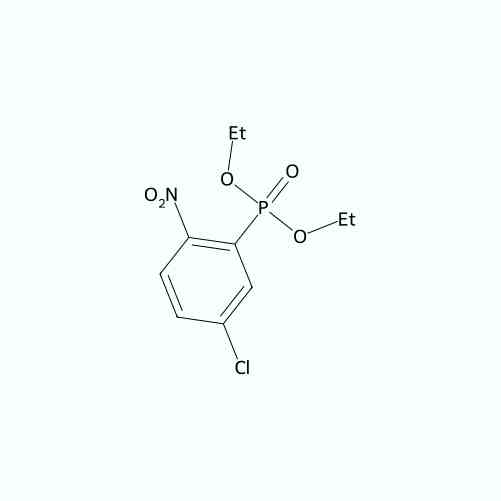 CCOP(=O)(OCC)c1cc(Cl)ccc1[N+](=O)[O-]